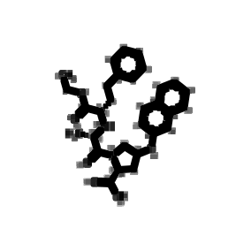 CCOC(=O)[C@H](CCc1ccccc1)N[C@@H](C)C(=O)N1CC(Oc2ccc3ccccc3c2)C[C@H]1C(=O)O